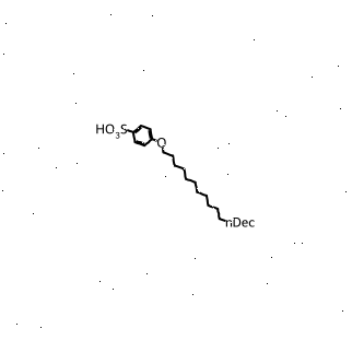 CCCCCCCCCCCCCCCCCCCCCOc1ccc(S(=O)(=O)O)cc1